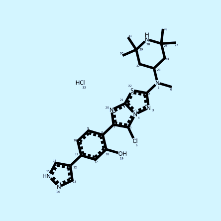 CN(c1nn2c(Cl)c(-c3ccc(-c4cn[nH]c4)cc3O)nc2s1)C1CC(C)(C)NC(C)(C)C1.Cl